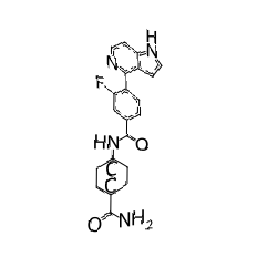 NC(=O)C12CCC(NC(=O)c3ccc(-c4nccc5[nH]ccc45)c(F)c3)(CC1)CC2